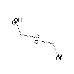 O=C(O)CCCCCCC/C=C\CCCCCCCCc1ccccc1-c1ccccc1CCCCCCCC/C=C\CCCCCCCC(=O)O